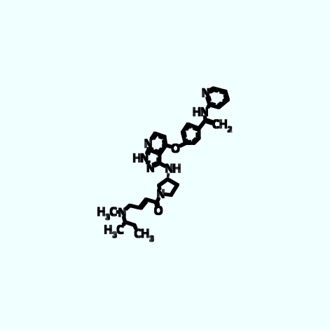 C=C(Nc1ccccn1)c1ccc(Oc2ccnc3[nH]nc(N[C@@H]4CCN(C(=O)/C=C/CN(C)C(C)CC)C4)c23)cc1